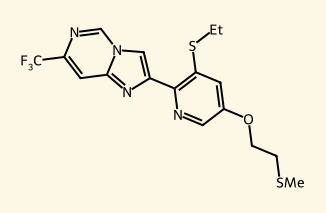 CCSc1cc(OCCSC)cnc1-c1cn2cnc(C(F)(F)F)cc2n1